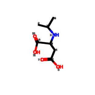 CC(C)NC(CC(=O)O)C(=O)O